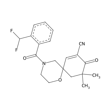 CC1(C)CC2(C=C(C#N)C1=O)CN(C(=O)c1ccccc1C(F)F)CCO2